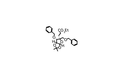 CCOC(=O)CC[C@]1(COCc2ccccc2)O[C@@H]2OC(C)(C)O[C@@H]2[C@@H]1OCc1ccccc1